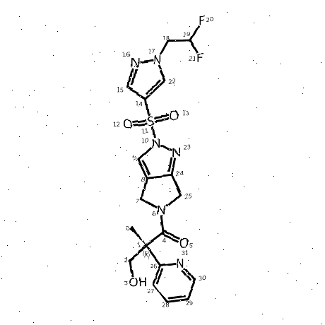 C[C@@](CO)(C(=O)N1Cc2cn(S(=O)(=O)c3cnn(CC(F)F)c3)nc2C1)c1ccccn1